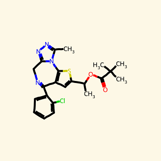 Cc1nnc2n1-c1sc(C(C)OC(=O)C(C)(C)C)cc1C(c1ccccc1Cl)=NC2